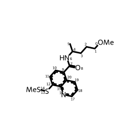 COCCCC(C)NC(=O)c1ccc(SSC)c2ncccc12